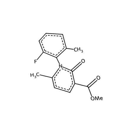 COC(=O)c1ccc(C)n(-c2c(C)cccc2F)c1=O